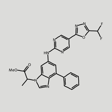 COC(=O)C(C)n1cnc2c(-c3ccccc3)cc(Nc3ncc(-c4nnc(C(F)F)o4)cn3)cc21